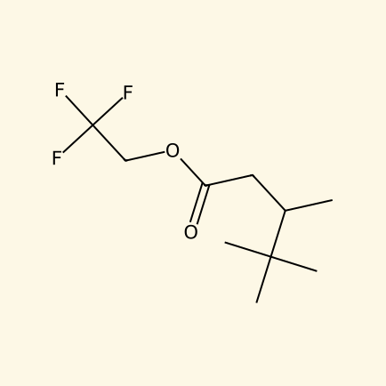 CC(CC(=O)OCC(F)(F)F)C(C)(C)C